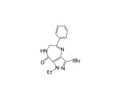 CCn1nc(C(C)(C)C)c2c1C(=O)NCC(c1ccccc1)=N2